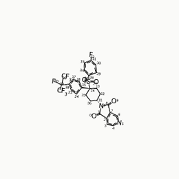 O=C1c2ccncc2C(=O)N1[C@H]1CC[C@@](c2ccc(C(F)(C(F)(F)F)C(F)(F)F)cc2)(S(=O)(=O)c2ccc(F)cc2)CC1